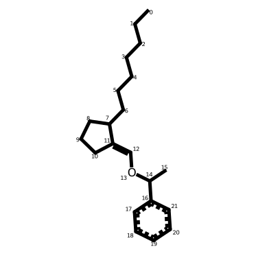 CCCCCCCC1CCCC1=COC(C)c1ccccc1